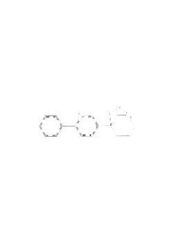 c1ccc(-c2ccc(C34CCCN(CC3)C4)cn2)cc1